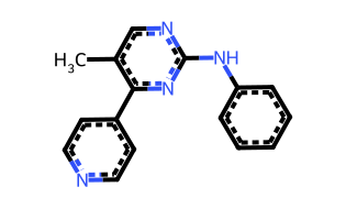 Cc1cnc(Nc2ccccc2)nc1-c1ccncc1